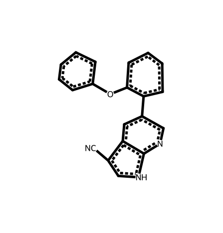 N#Cc1c[nH]c2ncc(-c3ccccc3Oc3ccccc3)cc12